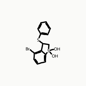 OS1(O)CC(Sc2ccccc2)c2c(Br)cccc21